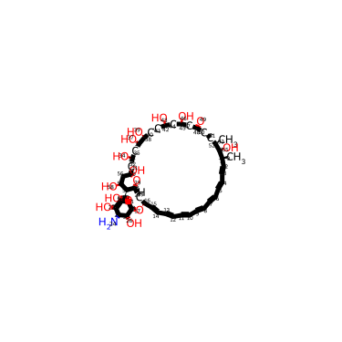 C[C@H]1/C=C/C=C/C=C/C=C/C=C/C=C/C=C/[C@H](OC2CC=C(O)C(N)C2O)C[C@@H]2O[C@](O)(C[C@@H](O)C[C@@H](O)[C@H](O)CC[C@@H](O)C[C@@H](O)CC(=O)CC[C@H](C)[C@@H]1O)C[C@H](O)[C@H]2C(=O)O